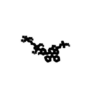 Cc1nn(COCC[Si](C)(C)C)c(C)c1-c1ccc(NC(=O)[C@H](c2cnn(CCCS(C)(=O)=O)c2C(N)=O)C(C2CCCCC2)C2CCCCC2)nc1F